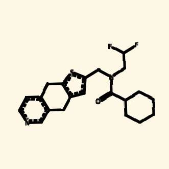 O=C(C1CCCCC1)N(Cc1cc2c(s1)Cc1ccncc1C2)CC(F)F